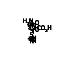 Cn1nnnc1SCC1=C(OC(=O)O)N2C(=O)C(N)[C@@H]2SC1